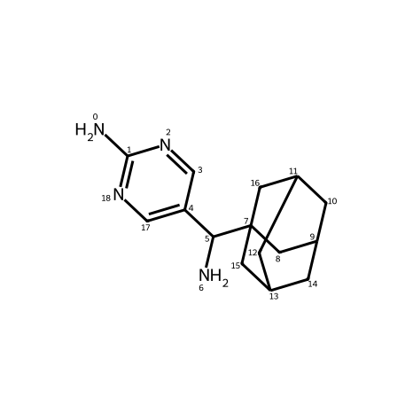 Nc1ncc(C(N)C23CC4CC(CC(C4)C2)C3)cn1